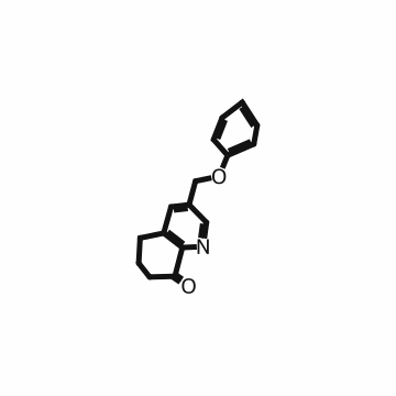 O=C1CCCc2cc(COc3ccccc3)cnc21